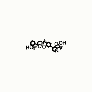 C[C@@H](c1ccc(-c2ccnc(C3(C(=O)O)CC3)c2)cc1)N1CC[C@](CC(C)(C)O)(c2ccccc2)OC1=O